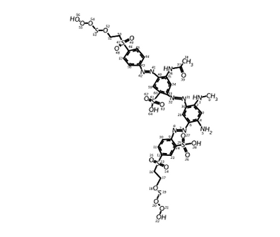 CNc1cc(N)c(/N=N/c2ccc(S(=O)(=O)CCOSOOO)cc2S(=O)(=O)O)cc1/N=N/c1cc(NC(C)=O)c(/N=N/c2ccc(S(=O)(=O)CCOSOOO)cc2)cc1S(=O)(=O)O